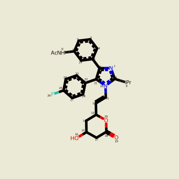 CC(=O)Nc1cccc(-c2nc(C(C)C)n(C=CC3CC(O)CC(=O)O3)c2-c2ccc(F)cc2)c1